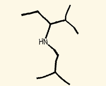 CCC(NCC(C)C)C(C)C